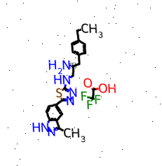 CCc1ccc(C[C@H](N)CNc2nnc(-c3ccc4[nH]nc(C)c4c3)s2)cc1.O=C(O)C(F)(F)F